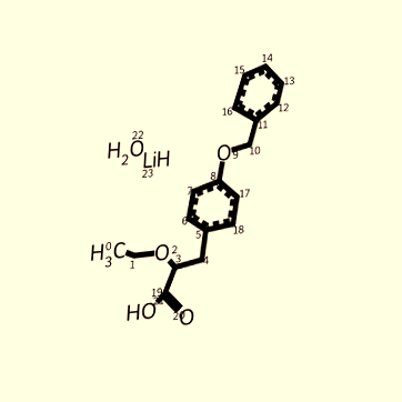 CCOC(Cc1ccc(OCc2ccccc2)cc1)C(=O)O.O.[LiH]